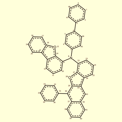 c1ccc(-c2ccc(N(c3cccc4c3oc3ccccc34)c3cccc4c3oc3c(-c5ccccc5)c5ccccc5cc34)cc2)cc1